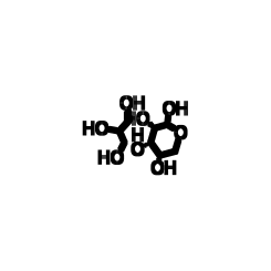 OC1OC[C@@H](O)[C@H](O)[C@H]1O.OCC(O)CO